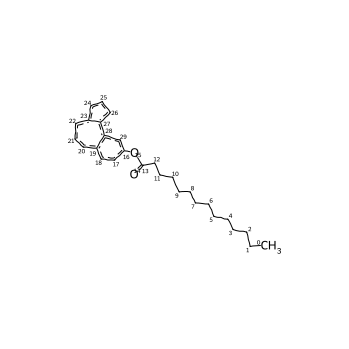 CCCCCCCCCCCCCC(=O)Oc1ccc2cccc3cccc-3c2c1